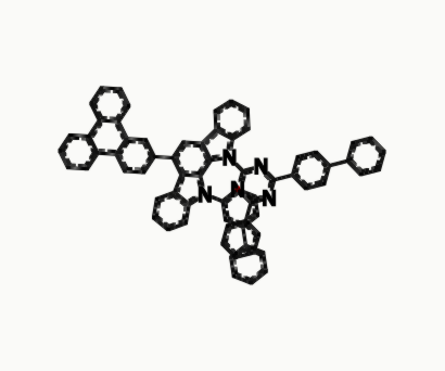 c1ccc(-c2ccc(-c3nc(-c4ccccc4)nc(-n4c5ccccc5c5cc(-c6ccc7c8ccccc8c8ccccc8c7c6)c6c7ccccc7n(-c7cccc(-c8ccccc8)c7)c6c54)n3)cc2)cc1